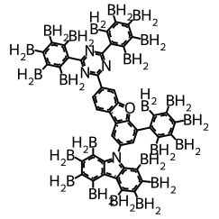 Bc1c(B)c(B)c(-c2nc(-c3ccc4c(c3)oc3c(-c5c(B)c(B)c(B)c(B)c5B)cc(-n5c6c(B)c(B)c(B)c(B)c6c6c(B)c(B)c(B)c(B)c65)cc34)nc(-c3c(B)c(B)c(B)c(B)c3B)n2)c(B)c1B